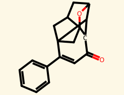 CC12CC34CC1CC(O2)C3CC(=O)C=C4c1ccccc1